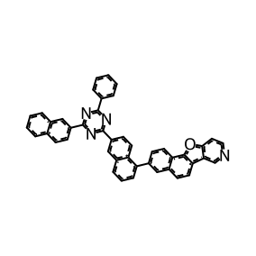 c1ccc(-c2nc(-c3ccc4ccccc4c3)nc(-c3ccc4c(-c5ccc6c(ccc7c8cnccc8oc67)c5)cccc4c3)n2)cc1